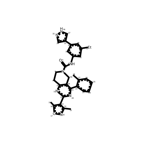 CCc1cc(NC(=O)N2CCc3nc(-c4c(C)noc4C)nc(-c4ccccc4C)c3C2)cc(-c2cn[nH]c2)c1